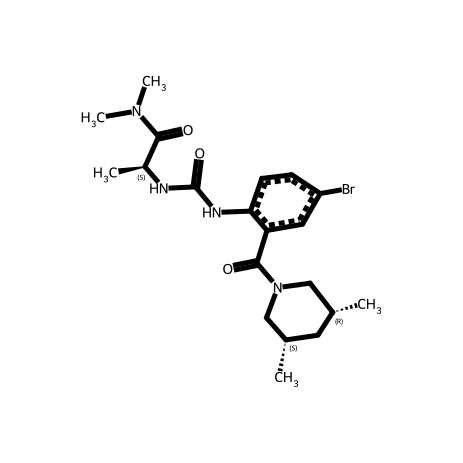 C[C@@H]1C[C@H](C)CN(C(=O)c2cc(Br)ccc2NC(=O)N[C@@H](C)C(=O)N(C)C)C1